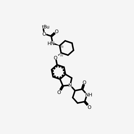 CC(C)(C)OC(=O)N[C@H]1CCCC[C@@H]1Oc1ccc2c(c1)CN(C1CCC(=O)NC1=O)C2=O